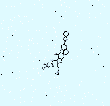 CS(=O)(=O)CC(=O)Nc1c2c(nn1CCC1CC1)C[C@@]1(CCc3cc(N4CC5(CCOC5)C4)ccc31)NC2=O